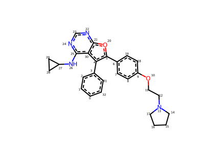 c1ccc(-c2c(-c3ccc(OCCN4CCCC4)cc3)oc3ncnc(NC4CC4)c23)cc1